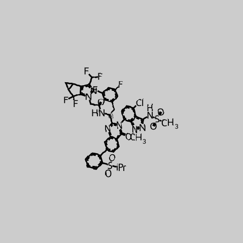 CC(C)S(=O)(=O)c1ccccc1-c1ccc2c(=O)n(-c3ccc(Cl)c4c(NS(C)(=O)=O)nn(C)c34)c([C@H](Cc3cc(F)cc(F)c3)NC(=O)Cn3nc(C(F)F)c4c3C(F)(F)C3CC43)nc2c1